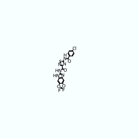 O=C(Nc1nc(C(=O)Nc2nc3cc4c(cc3[nH]2)OC(F)(F)O4)ns1)c1ccc(Cl)cc1